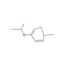 CC1C=CC(OC(C)C)=CC1